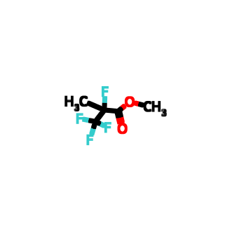 COC(=O)C(C)(F)C(F)(F)F